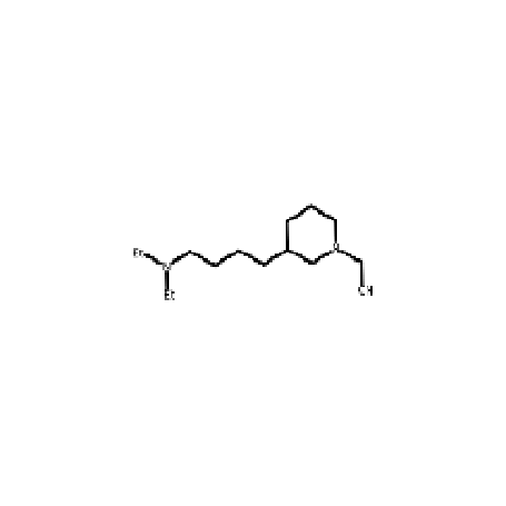 CCN(CC)CCCCC1CCCN(CC#N)C1